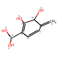 C=C1C=CC(B(O)O)=C(O)C1O